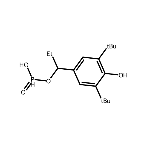 CCC(O[PH](=O)O)c1cc(C(C)(C)C)c(O)c(C(C)(C)C)c1